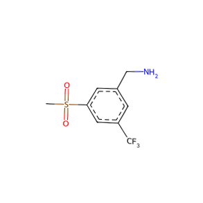 CS(=O)(=O)c1cc(CN)cc(C(F)(F)F)c1